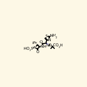 CC(C)[C@H]1[C@@H](NC(=O)/C(=N/OC(C)(C)C(=O)O)c2csc(N)n2)C(=O)N1S(=O)(=O)O